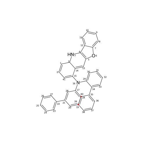 C1=CC2Nc3c(oc4ccccc34)C=C2C(N(c2cccc(-c3ccccc3)c2)c2ccccc2-c2ccccc2)=C1